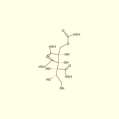 CCCCCCCCC(=O)OC[C@](O)(C(=O)CCCCCCCC)[C@](O)(C(=O)CCCCCCCC)[C@@](O)(C(=O)CCCCCCCC)[C@@H](O)CO